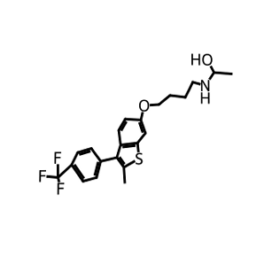 Cc1sc2cc(OCCCCNC(C)O)ccc2c1-c1ccc(C(F)(F)F)cc1